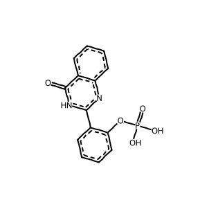 O=c1[nH]c(-c2ccccc2OP(=O)(O)O)nc2ccccc12